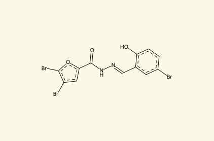 O=C(NN=Cc1cc(Br)ccc1O)c1cc(Br)c(Br)o1